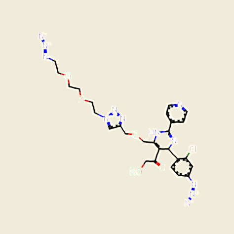 [N-]=[N+]=NCCOCCOCCn1cc(COCC2=C(C(=O)CO)C(c3ccc(N=[N+]=[N-])cc3Cl)N=C(c3ccncc3)N2)nn1